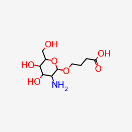 NC1C(O)[C@@H](O)C(CO)O[C@H]1OCCCC(=O)O